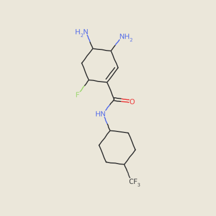 NC1C=C(C(=O)NC2CCC(C(F)(F)F)CC2)C(F)CC1N